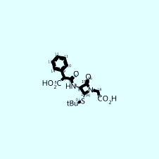 CC(C)(C)S[C@@H]1[C@H](NC(=O)C(C(=O)O)c2ccccc2)C(=O)N1CC(=O)O